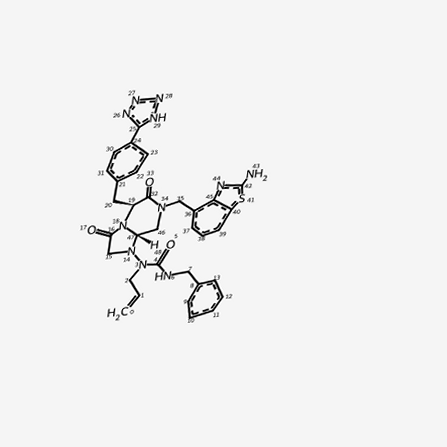 C=CCN(C(=O)NCc1ccccc1)N1CC(=O)N2[C@@H](Cc3ccc(-c4nnn[nH]4)cc3)C(=O)N(Cc3cccc4sc(N)nc34)C[C@@H]21